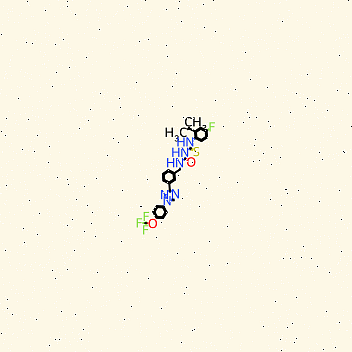 CC(C)c1cc(F)ccc1NC(=S)NC(=O)NCc1cccc(-c2ncn(-c3ccc(OC(F)(F)F)cc3)n2)c1